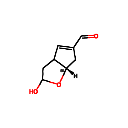 O=CC1=CC2CC(O)O[C@H]2C1